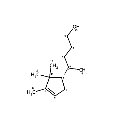 CC1=CC[C@@H](C(C)CCCO)C1(C)C